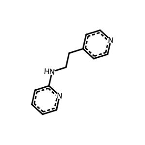 c1ccc(NCCc2ccncc2)nc1